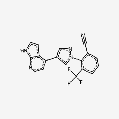 N#Cc1cccc(C(F)(F)F)c1-n1cc(-c2ccnc3[nH]ccc23)cn1